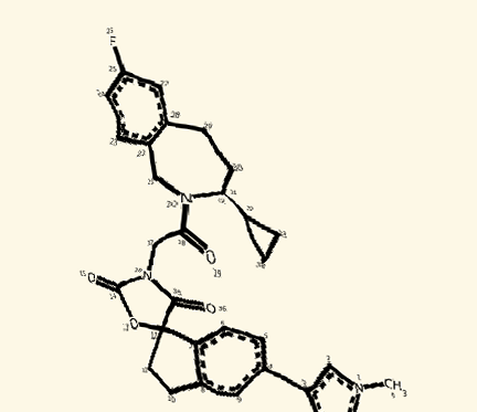 Cn1cc(-c2ccc3c(c2)CCC32OC(=O)N(CC(=O)N3Cc4ccc(F)cc4CC[C@H]3C3CC3)C2=O)cn1